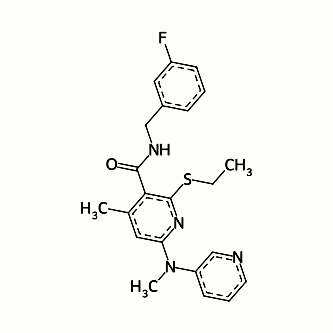 CCSc1nc(N(C)c2cccnc2)cc(C)c1C(=O)NCc1cccc(F)c1